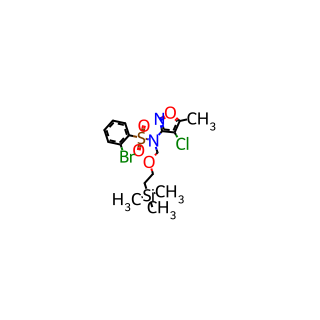 Cc1onc(N(COCC[Si](C)(C)C)S(=O)(=O)c2ccccc2Br)c1Cl